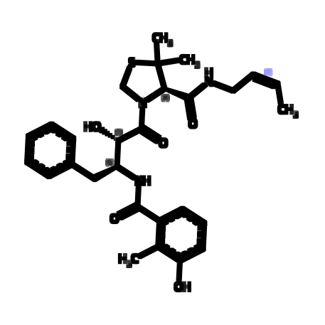 C/C=C\CNC(=O)[C@H]1N(C(=O)[C@@H](O)[C@H](Cc2ccccc2)NC(=O)c2cccc(O)c2C)CSC1(C)C